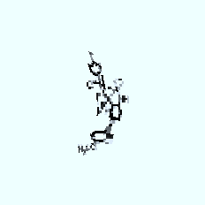 COc1ccc(-c2ccc3c(c2)C(CNC(=O)c2ccc(F)cc2)(C(F)(F)F)OC(=O)N3)cn1